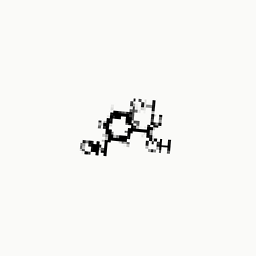 O=Nc1ccc(O)c(C(=O)O)c1